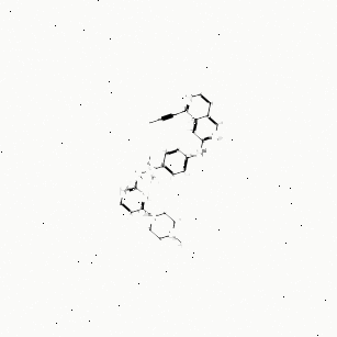 CC#Cc1nccc2cnc(Nc3ccc(S(=O)(=O)Nc4nccc(N5CCN(C)CC5)n4)cc3)cc12